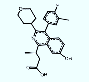 Cc1cc(-c2c(C3CCOCC3)nc([C@H](C)CC(=O)O)c3cc(O)ccc23)ccc1F